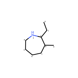 CCC1NCCCCC1C